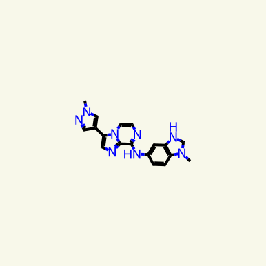 CN1CNc2cc(Nc3nccn4c(-c5cnn(C)c5)cnc34)ccc21